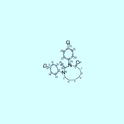 O=C1CCCCCCN(c2ccc(Cl)cc2)C(=O)N1c1ccc(Cl)cc1